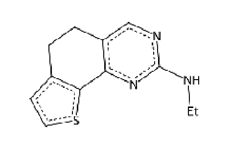 CCNc1ncc2c(n1)-c1sccc1CC2